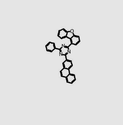 c1ccc(-c2nc(-c3ccc4c(ccc5ccccc54)c3)nc(-c3cccc4oc5ccccc5c34)n2)cc1